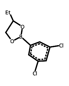 CCC1COB(c2cc(Cl)cc(Cl)c2)O1